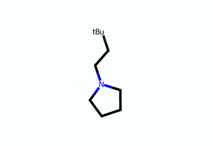 CC(C)(C)CCN1CCCC1